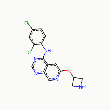 Clc1ccc(Nc2ncnc3cnc(OC4CNC4)cc23)c(Cl)c1